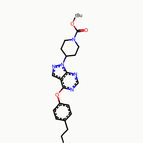 COCCc1ccc(Oc2ncnc3c2cnn3C2CCN(C(=O)OC(C)(C)C)CC2)cc1